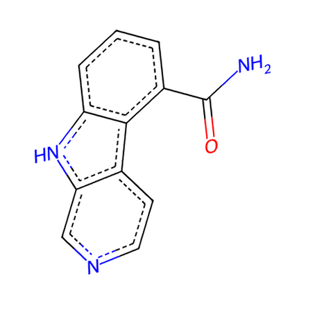 NC(=O)c1cccc2[nH]c3cnccc3c12